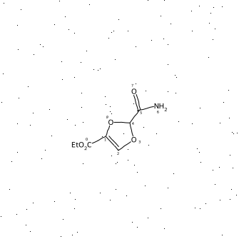 CCOC(=O)C1=COC(C(N)=O)O1